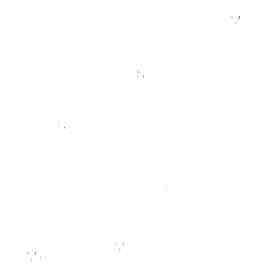 COc1ccc2cc(Cc3cncc4cc(OC)c(OC)cc34)cnc2c1.Cl.Cl